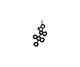 CC1(C)c2cc(-c3c4ccccc4c(-c4ccccc4)c4ccccc34)c3ccccc3c2C2C=CC(F)=CC21